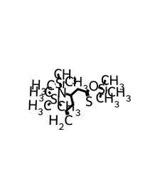 C=CCC(CC(=S)O[Si](C)(C)C)N([Si](C)(C)C)[Si](C)(C)C